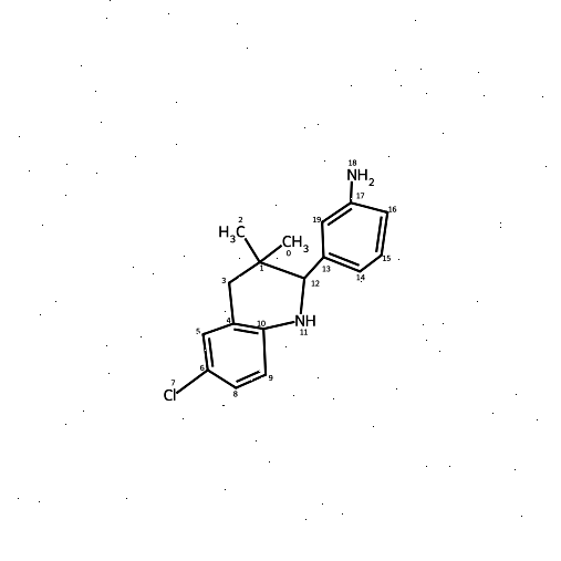 CC1(C)Cc2cc(Cl)ccc2NC1c1cccc(N)c1